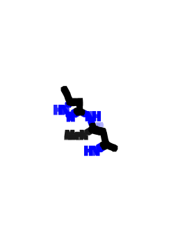 CN/C(=C\C(C)=N)Nc1cc(C)[nH]n1